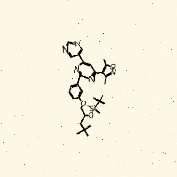 Cc1noc(C)c1-c1cc(-c2cncnc2)nc(-c2cccc(OCC([CH]C(C)(C)C)O[Si](C)(C)C(C)(C)C)c2)n1